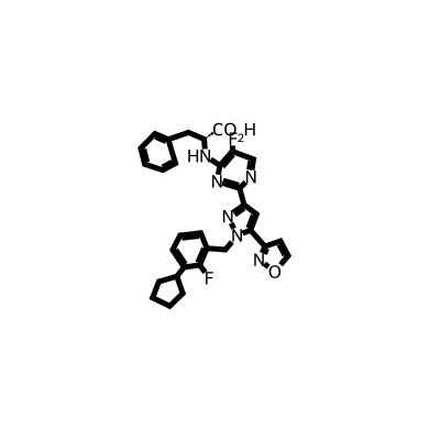 O=C(O)[C@@H](Cc1ccccc1)Nc1nc(-c2cc(-c3ccon3)n(Cc3cccc(C4CCCC4)c3F)n2)ncc1F